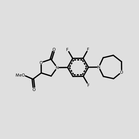 COC(=O)C1CN(c2cc(F)c(N3CCCOCC3)c(F)c2F)C(=O)O1